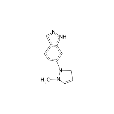 CN1C=CCN1c1ccc2cn[nH]c2c1